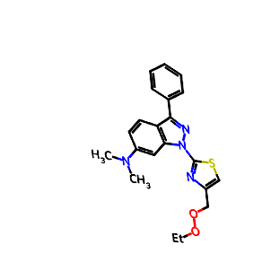 CCOOCc1csc(-n2nc(-c3ccccc3)c3ccc(N(C)C)cc32)n1